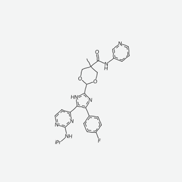 CC(C)Nc1nccc(-c2[nH]c(C3OCC(C)(C(=O)Nc4cccnc4)CO3)nc2-c2ccc(F)cc2)n1